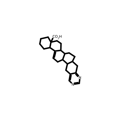 O=C(O)C12CCCCC1C1=CCC3C4Cc5cncnc5CC4CCC3C1CC2